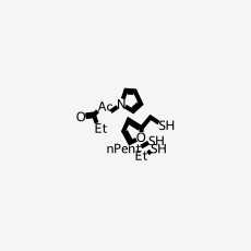 CCC(=O)C(C)=O.CCCCCS.CCS.Cn1cccc1.SCc1ccco1